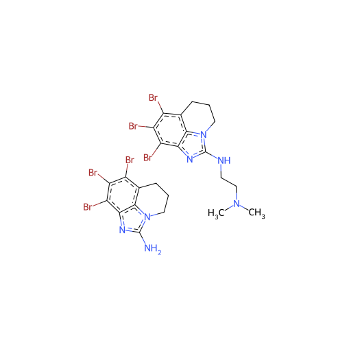 CN(C)CCNc1nc2c(Br)c(Br)c(Br)c3c2n1CCC3.Nc1nc2c(Br)c(Br)c(Br)c3c2n1CCC3